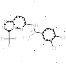 C[C@@H](Nc1ccc2nnc(C(F)(F)F)n2n1)c1ccc(Cl)c(Cl)c1